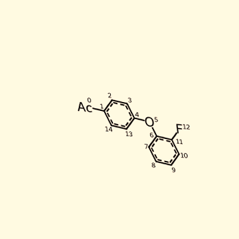 CC(=O)c1ccc(Oc2ccccc2F)cc1